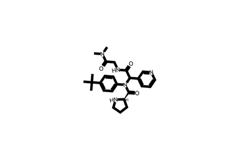 CN(C)C(=O)CNC(=O)C(c1cccnc1)N(C(=O)[C@H]1CCCN1)c1ccc(C(C)(C)C)cc1